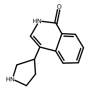 O=c1[nH]cc(C2CCNC2)c2ccccc12